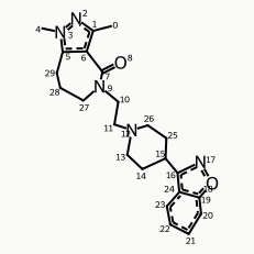 Cc1nn(C)c2c1C(=O)N(CCN1CCC(c3noc4ccccc34)CC1)CCC2